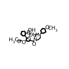 COCOc1cc(C(=O)N2CCN(c3ccc(OC)cc3)CC2)sc1-c1ccccc1B(O)O